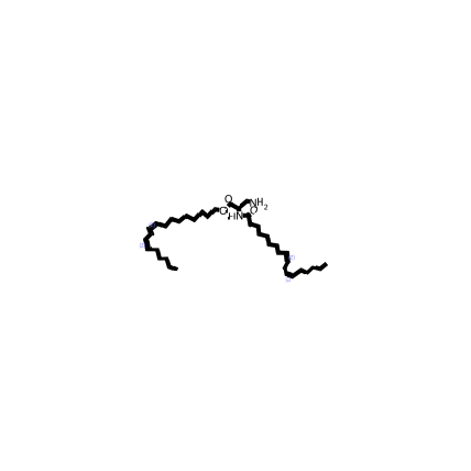 CCCCC/C=C\C/C=C\CCCCCCCCOC(=O)C(CN)NC(=O)CCCCCCC/C=C\C/C=C\CCCCC